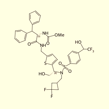 COC(=O)N[C@H](C(=O)NCc1ccc([C@@H](CO)N(CC2CC(F)(F)C2)S(=O)(=O)c2ccc(C(O)C(F)(F)F)cc2)s1)C(c1ccccc1)c1ccccc1